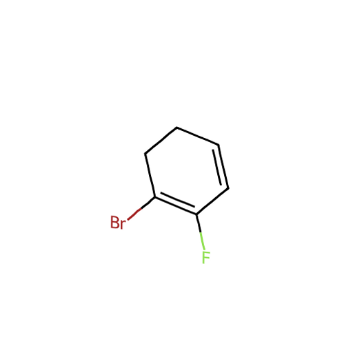 FC1=C(Br)CCC=C1